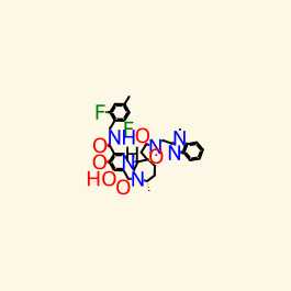 Cc1cc(F)c(CNC(=O)c2cn3c(c(O)c2=O)C(=O)N2C[C@@H]3[C@]3(CC[C@@H]2C)CC(=O)N(Cc2nc4ccccc4n2C)O3)c(F)c1